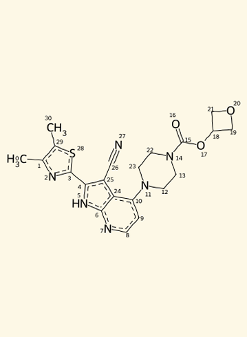 Cc1nc(-c2[nH]c3nccc(N4CCN(C(=O)OC5COC5)CC4)c3c2C#N)sc1C